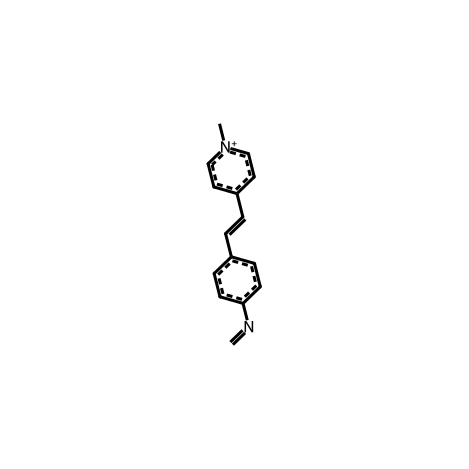 C=Nc1ccc(/C=C/c2cc[n+](C)cc2)cc1